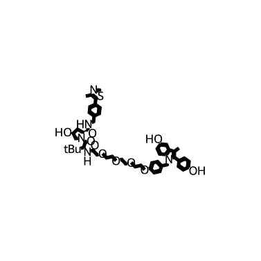 Cc1ncsc1-c1ccc(CNC(=O)[C@@H]2C[C@@H](O)CN2C(=O)C(NC(=O)COCCOCCOCCOc2ccc(Cn3c(-c4ccc(O)cc4)c(C)c4cc(O)ccc43)cc2)C(C)(C)C)cc1